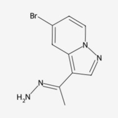 CC(=NN)c1cnn2ccc(Br)cc12